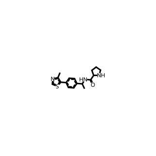 Cc1ncsc1-c1ccc(C(C)NC(=O)C2CCCN2)cc1